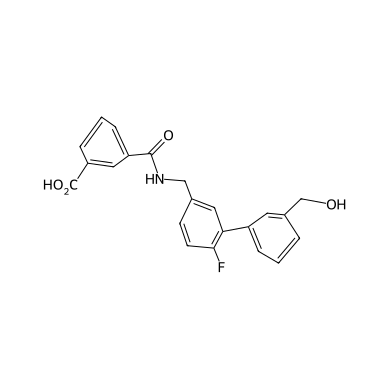 O=C(O)c1cccc(C(=O)NCc2ccc(F)c(-c3cccc(CO)c3)c2)c1